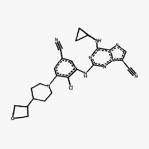 N#Cc1cc(Nc2nc(NC3CC3)c3ncc(C#N)n3n2)c(Cl)c(N2CCC(C3COC3)CC2)c1